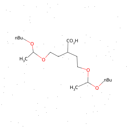 CCCCOC(C)OCCC(CCOC(C)OCCCC)C(=O)O